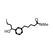 CNC(=O)CCCCc1cccc(C(O)CCI)c1